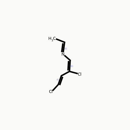 C/C=N/C=C(Cl)\C=C\Cl